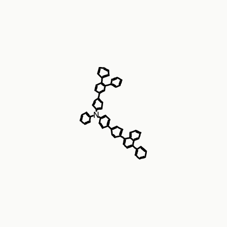 c1ccc(-c2ccc(-c3ccc(N(c4ccccc4)c4ccc(-c5ccc(-c6ccc(-c7ccccc7)c7ccccc67)cc5)cc4)cc3)cc2-c2ccccc2)cc1